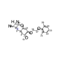 COc1cc(/C=C(/C#N)C(N)=O)ccc1OCCOc1c(C)cccc1C